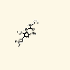 Cc1c(C2CC(F)(F)C2)nn(C(C)(C)C)c1NC(=O)NCC(F)(F)F